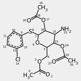 CC(=O)OCC1OC(Sc2cccc(Cl)c2)C(OC(C)=O)C(N)C1OC(C)=O